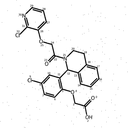 O=C(O)COc1ccc(Cl)cc1C1c2ccccc2CCN1C(=O)COc1cccnc1Cl